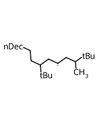 CCCCCCCCCCCCC(C[CH]CC(C)C(C)(C)C)C(C)(C)C